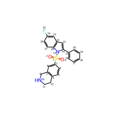 O=S(=O)(c1ccc2c(c1)CNCC2)n1c(-c2ccccc2)cc2cc(F)ccc21